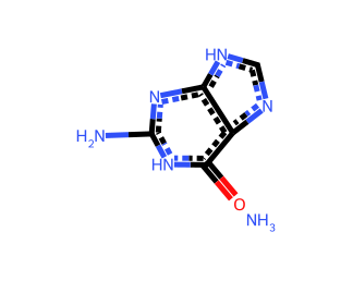 N.Nc1nc2[nH]cnc2c(=O)[nH]1